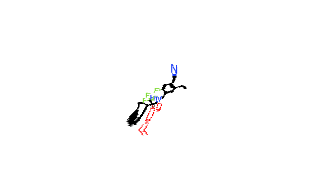 CCc1cc(CNC(=O)[C@@](O)(c2ccccc2)C(F)(F)F)c(F)cc1C#N